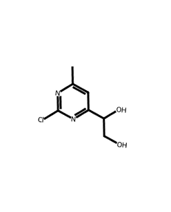 Cc1cc(C(O)CO)nc(Cl)n1